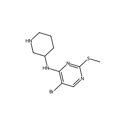 CSc1ncc(Br)c(NC2CCCNC2)n1